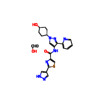 O=C(Nc1cn(C2CCC(O)CC2)nc1-c1ccccn1)c1csc(-c2cn[nH]c2)n1.O=CO